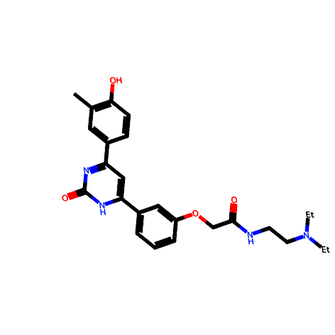 CCN(CC)CCNC(=O)COc1cccc(-c2cc(-c3ccc(O)c(C)c3)nc(=O)[nH]2)c1